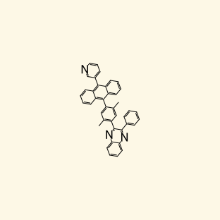 Cc1cc(-c2c3ccccc3c(-c3cccnc3)c3ccccc23)c(C)cc1-c1nc2ccccc2nc1-c1ccccc1